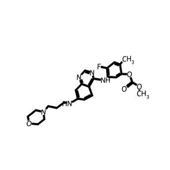 COC(=O)Oc1cc(Nc2ncnc3cc(NCCCN4CCOCC4)ccc23)c(F)cc1C